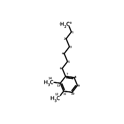 [CH2]CCCCCCc1cccc(C)c1C